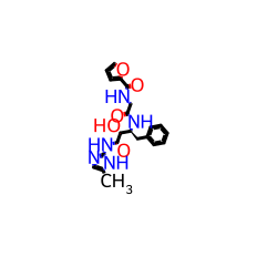 Cc1cnc(NC(=O)[C@H](O)[C@H](Cc2ccccc2)NC(=O)CNC(=O)c2ccco2)[nH]1